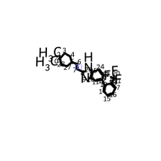 CC1(C)CCC(/C=C/c2nc3cc(-c4ccccc4C(F)(F)F)ccc3[nH]2)CC1